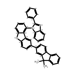 CC1(C)c2ccccc2-c2ccc(-c3ccc4oc5cccc(-n6c(-c7ccccc7)nc7ccccc76)c5c4c3)cc21